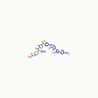 C[C@H]1CN(C(=O)c2ccc(NC(=O)c3ncc(-c4cn(-c5ccc(N)cn5)nc4C(F)(F)F)n3C)cc2Cl)CCN1C(=O)C(C1CCN(CC(=O)O)CC1)C1CNC1